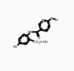 CCSc1ccc(C(=O)Nc2ccc(C#N)cc2C(=O)O)cn1.Cl